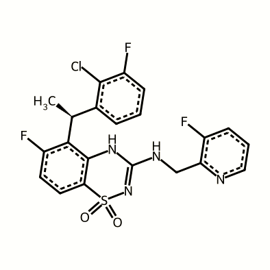 C[C@@H](c1cccc(F)c1Cl)c1c(F)ccc2c1NC(NCc1ncccc1F)=NS2(=O)=O